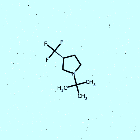 CC(C)(C)N1CC[C@@H](C(F)(F)F)C1